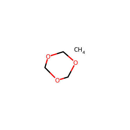 C.C1OCOCO1